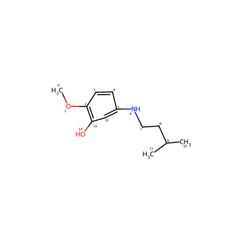 COc1ccc(NCCC(C)C)cc1O